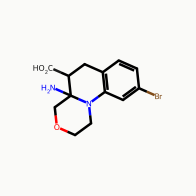 NC12COCCN1c1cc(Br)ccc1CC2C(=O)O